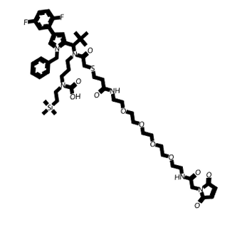 CC(C)(C)C(c1cc(-c2cc(F)ccc2F)cn1Cc1ccccc1)N(CCCN(CC[Si](C)(C)C)C(=O)O)C(=O)CSCCC(=O)NCCOCCOCCOCCOCCNC(=O)CN1C(=O)C=CC1=O